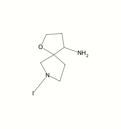 NC1CCOC12CCN(I)C2